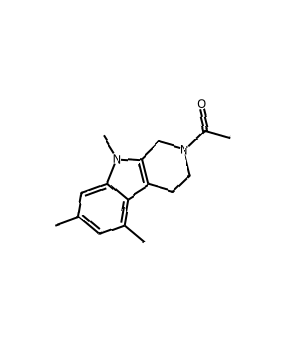 CC(=O)N1CCc2c(n(C)c3cc(C)cc(C)c23)C1